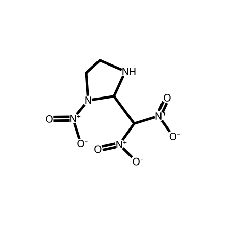 O=[N+]([O-])C(C1NCCN1[N+](=O)[O-])[N+](=O)[O-]